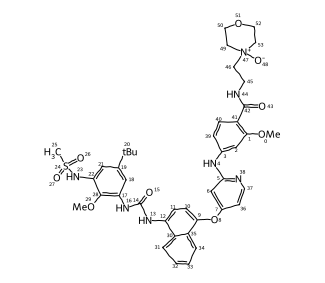 COc1cc(Nc2cc(Oc3ccc(NC(=O)Nc4cc(C(C)(C)C)cc(NS(C)(=O)=O)c4OC)c4ccccc34)ccn2)ccc1C(=O)NCC[N+]1([O-])CCOCC1